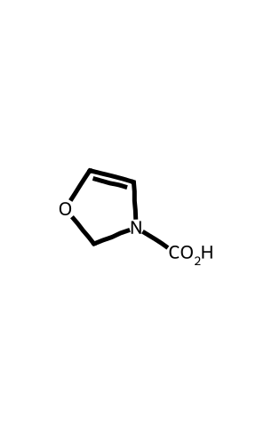 O=C(O)N1C=COC1